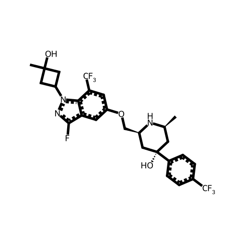 C[C@H]1C[C@@](O)(c2ccc(C(F)(F)F)cc2)C[C@@H](COc2cc(C(F)(F)F)c3c(c2)c(F)nn3C2CC(C)(O)C2)N1